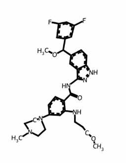 COCCCNc1cc(N2CCN(C)CC2)ccc1C(=O)Nc1n[nH]c2ccc(C(OC)c3cc(F)cc(F)c3)cc12